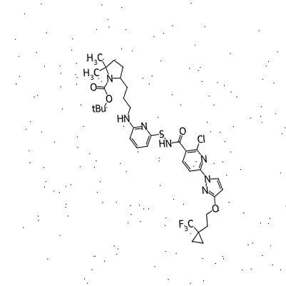 CC(C)(C)OC(=O)N1C(CCCNc2cccc(SNC(=O)c3ccc(-n4ccc(OCCC5(C(F)(F)F)CC5)n4)nc3Cl)n2)CCC1(C)C